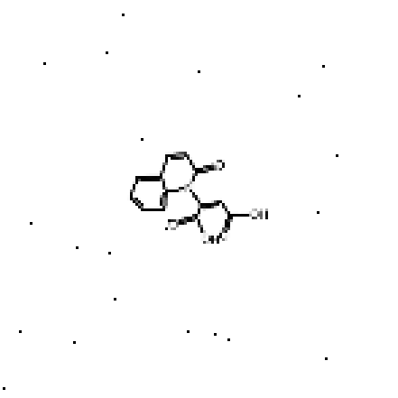 O=C(O)/C=C(\C(=O)O)n1c(=O)ccc2ccccc21